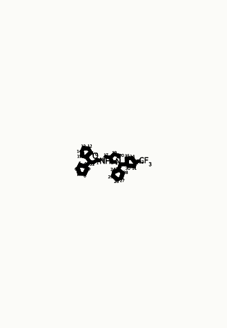 O=C(CC(c1ccccc1)c1ccccc1)NCC1CCN(C(c2ccccc2)c2ccc(C(F)(F)F)cc2)C1